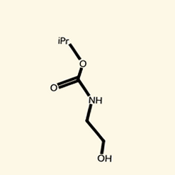 CC(C)OC(=O)NCCO